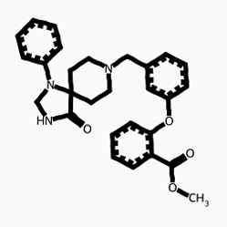 COC(=O)c1ccccc1Oc1cccc(CN2CCC3(CC2)C(=O)NCN3c2ccccc2)c1